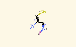 NC(/C=N\I)=C/S